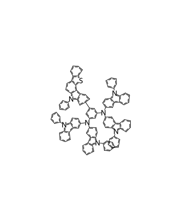 c1ccc(-n2c3ccccc3c3cc(N(c4cc(-c5ccc6c7c8sc9ccccc9c8ccc7n(-c7ccccc7)c6c5)cc(N(c5ccc6c(c5)c5ccccc5n6-c5ccccc5)c5ccc6c(c5)c5ccccc5n6-c5ccccc5)c4)c4ccc5c(c4)c4ccccc4n5-c4ccccc4)ccc32)cc1